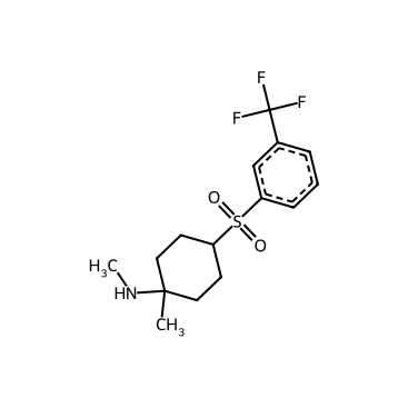 CNC1(C)CCC(S(=O)(=O)c2cccc(C(F)(F)F)c2)CC1